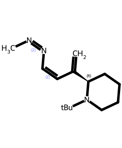 C=C(/C=C\N=N/C)[C@H]1CCCCN1C(C)(C)C